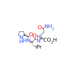 CC(C)C[C@H](NC(=O)[C@@H]1CCCN1)C(=O)N[C@@H](CCC(N)=O)C(=O)O